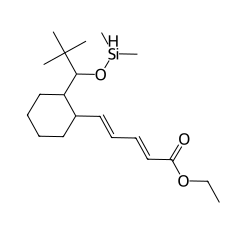 CCOC(=O)C=CC=CC1CCCCC1C(O[SiH](C)C)C(C)(C)C